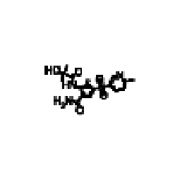 Cc1ccc(S(=O)(=O)c2cc(C(N)=O)c(NC(=O)C(C)(C)O)s2)cn1